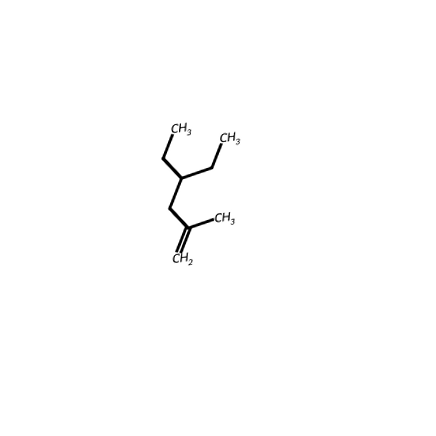 C=C(C)CC(CC)CC